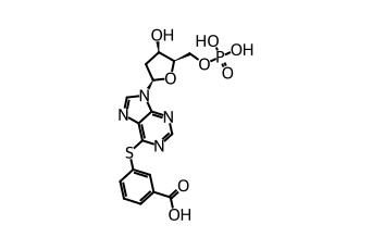 O=C(O)c1cccc(Sc2ncnc3c2ncn3[C@H]2C[C@@H](O)[C@@H](COP(=O)(O)O)O2)c1